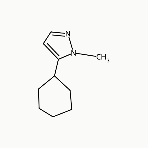 Cn1nccc1C1CCCCC1